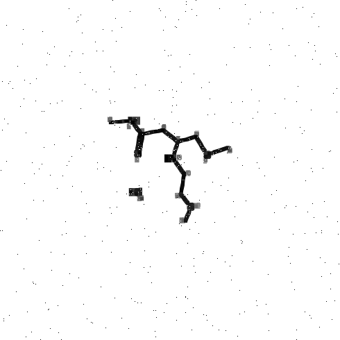 CNC(=O)CC(COC)NCCOC.Cl